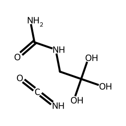 N=C=O.NC(=O)NCC(O)(O)O